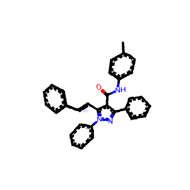 Cc1ccc(NC(=O)c2c(-c3ccccc3)nn(-c3ccccc3)c2/C=C/c2ccccc2)cc1